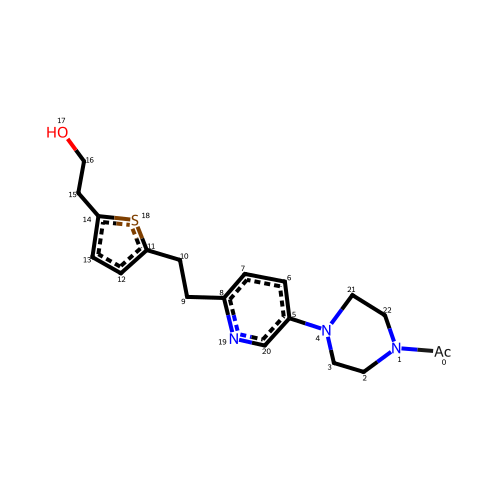 CC(=O)N1CCN(c2ccc(CCc3ccc(CCO)s3)nc2)CC1